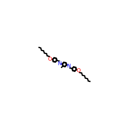 CCCCCCCCOc1ccc(C=Nc2ccc(N=Cc3ccc(OCCCCCCCC)cc3)c(C)c2)cc1